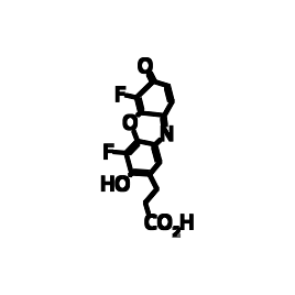 O=C(O)CCc1cc2nc3ccc(=O)c(F)c-3oc2c(F)c1O